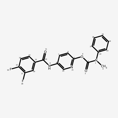 CN(C(=O)Oc1ccc(NC(=O)c2ccc(F)c(F)c2)cn1)c1ccccc1